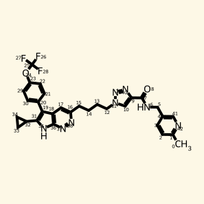 Cc1ccc(CNC(=O)c2cn(CCCCc3cc4c(-c5ccc(OC(F)(F)F)cc5)c(C5CC5)[nH]c4nn3)nn2)cn1